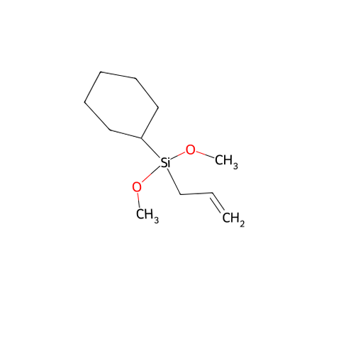 C=CC[Si](OC)(OC)C1CCCCC1